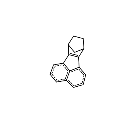 c1cc2c3c(cccc3c1)C1=C2C2CCC1C2